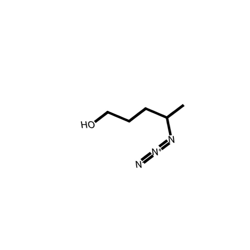 CC(CCCO)N=[N+]=[N-]